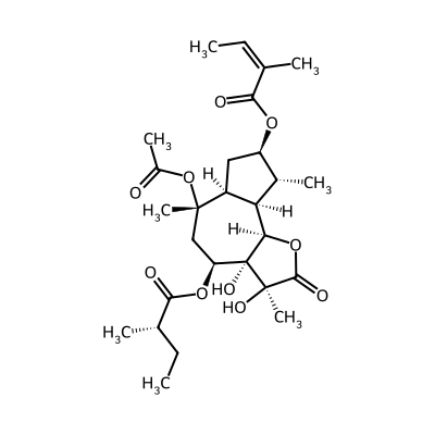 C/C=C(/C)C(=O)O[C@@H]1C[C@H]2[C@@H]([C@H]1C)[C@H]1OC(=O)[C@@](C)(O)[C@@]1(O)[C@@H](OC(=O)[C@@H](C)CC)C[C@]2(C)OC(C)=O